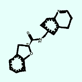 O=C(Nc1ccc2c(c1)CCC=N2)[C@@H]1Cc2ccccc2O1